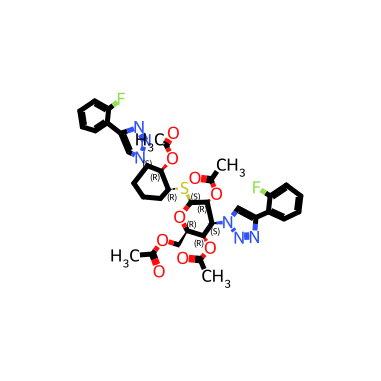 CC(=O)OC[C@H]1O[C@@H](S[C@@H]2CCC[C@H](n3cc(-c4ccccc4F)nn3)[C@H]2OC(C)=O)[C@H](OC(C)=O)[C@@H](n2cc(-c3ccccc3F)nn2)[C@H]1OC(C)=O